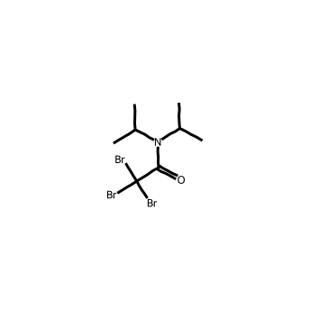 CC(C)N(C(=O)C(Br)(Br)Br)C(C)C